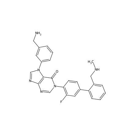 CNCc1ccccc1-c1ccc(-n2cnc3ncn(-c4cccc(CN)c4)c3c2=O)c(F)c1